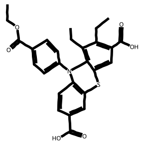 CCOC(=O)c1ccc(N2c3ccc(C(=O)O)cc3Sc3cc(C(=O)O)c(CC)c(CC)c32)cc1